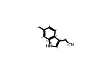 Cc1ccc2c(CC#N)c[nH]c2c1